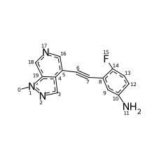 Cn1ncc2c(C#Cc3cc(N)ccc3F)cncc21